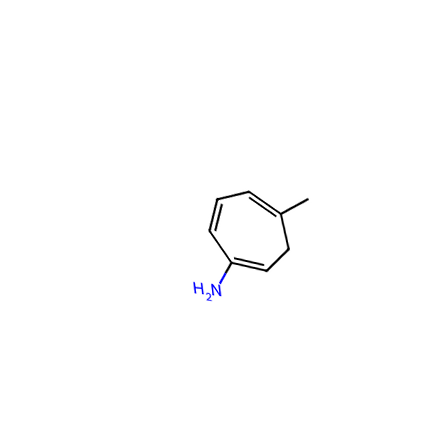 CC1=CC=CC(N)=CC1